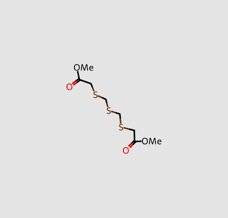 COC(=O)CSCSCSCC(=O)OC